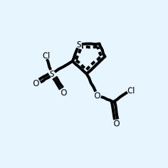 O=C(Cl)Oc1ccsc1S(=O)(=O)Cl